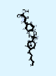 CCCCCC12CCC(C(F)(F)Oc3ccc(/C=C/C(=O)O)cc3)(CC1)CC2